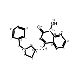 O=c1cc(N[C@@H]2CCN(Cc3ccccc3)C2)c2cccnc2n1O